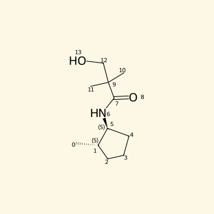 C[C@H]1CCC[C@@H]1NC(=O)C(C)(C)CO